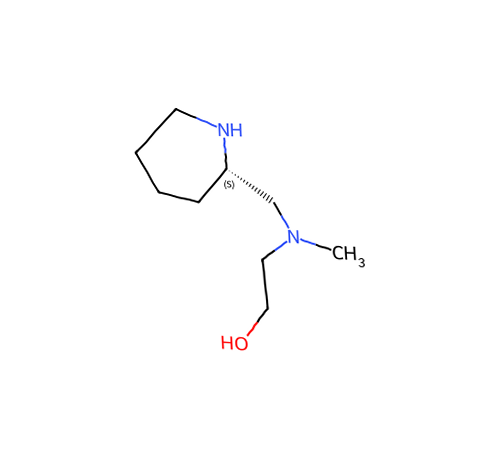 CN(CCO)C[C@@H]1CCCCN1